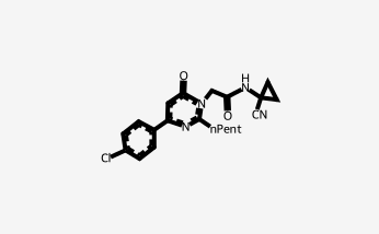 CCCCCc1nc(-c2ccc(Cl)cc2)cc(=O)n1CC(=O)NC1(C#N)CC1